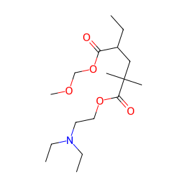 CCC(CC(C)(C)C(=O)OCCN(CC)CC)C(=O)OCOC